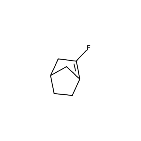 FC1=C2CCC(C1)C2